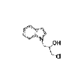 OC(CCl)Cn1ccc2ccccc21